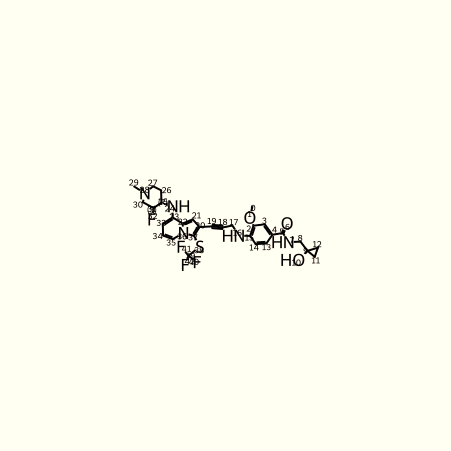 COc1cc(C(=O)NCC2(O)CC2)ccc1NCC#Cc1cc2c(N[C@@H]3CCN(C)C[C@@H]3F)cccn2c1SC(F)(F)F